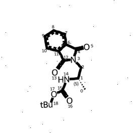 C[C@@H](CN1C(=O)c2ccccc2C1=O)NC(=O)OC(C)(C)C